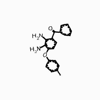 Cc1ccc(Oc2ccc(C(=O)c3ccccc3)c(N)c2N)cc1